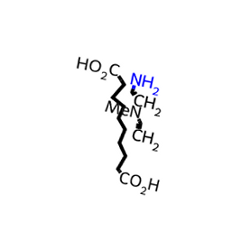 C=CN.C=CNC.O=C(O)CCCCCCCCC(=O)O